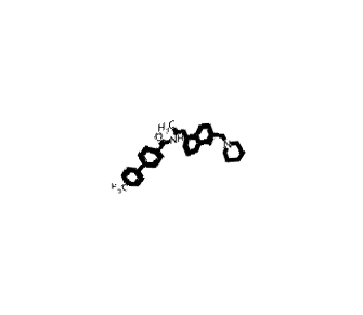 CC(Cc1cccc2cc(CN3CCCCC3)ccc12)NC(=O)c1ccc(-c2ccc(C(F)(F)F)cc2)cc1